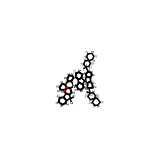 CC1(c2ccc3c(c2)C2(c4cc(C5(C)CCC6(CCCCC6)CC5)ccc4-3)c3ccccc3-c3c(N(c4ccc5c(c4)C(C)(C)c4ccccc4-5)c4ccccc4-c4ccccc4)cccc32)CCC2(CCCCC2)CC1